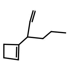 [CH]=CC(CCC)C1=CCC1